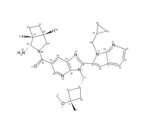 CO[C@]1(C)C[C@H](Cn2c(-c3cc4cccnc4n3CC3CC3)nc3cc(C(=O)N4C[C@H]5CC[C@H]5[C@H]4N)cnc32)C1